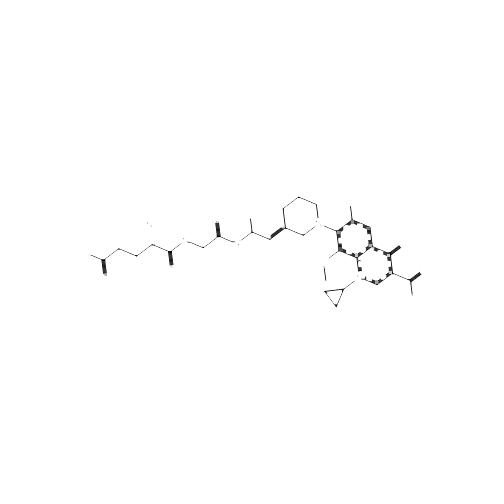 COc1c(N2CCCC(=CC(F)NC(=O)CNC(=O)[C@@H](N)CCC(=O)O)C2)c(F)cc2c(=O)c(C(=O)O)cn(C3CC3)c12